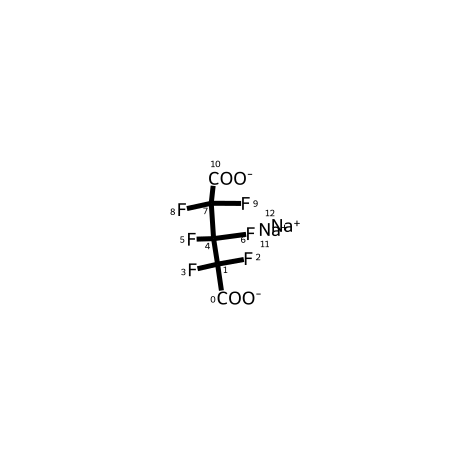 O=C([O-])C(F)(F)C(F)(F)C(F)(F)C(=O)[O-].[Na+].[Na+]